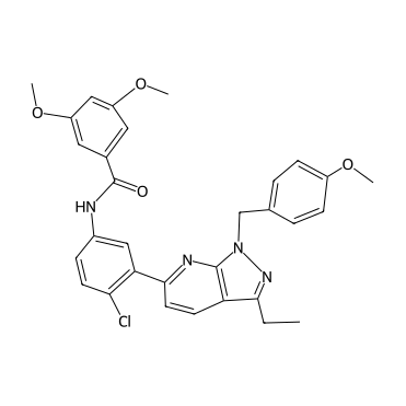 CCc1nn(Cc2ccc(OC)cc2)c2nc(-c3cc(NC(=O)c4cc(OC)cc(OC)c4)ccc3Cl)ccc12